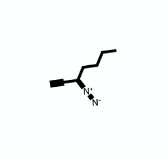 C#CC(CCCC)=[N+]=[N-]